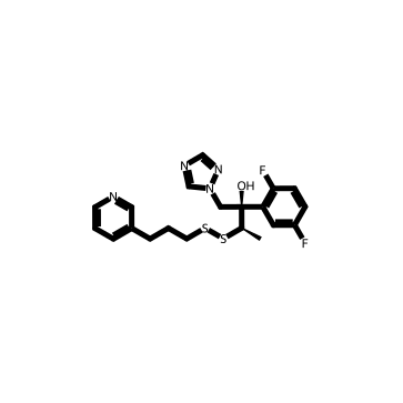 C[C@@H](SSCCCc1cccnc1)[C@](O)(Cn1cncn1)c1cc(F)ccc1F